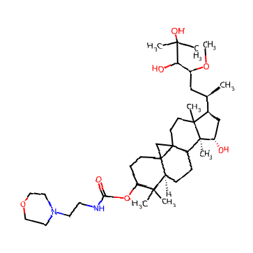 COC(C[C@@H](C)[C@H]1C[C@H](O)[C@@]2(C)C3CC[C@H]4C(C)(C)C(OC(=O)NCCN5CCOCC5)CCC45CC35CCC12C)C(O)C(C)(C)O